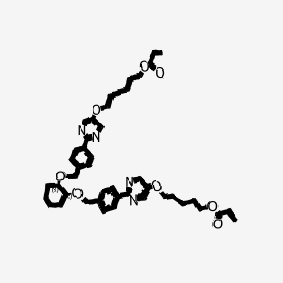 C=CC(=O)OCCCCCOc1cnc(-c2ccc(CO[C@@H]3CCCC[C@H]3OCc3ccc(-c4ncc(OCCCCCOC(=O)C=C)cn4)cc3)cc2)nc1